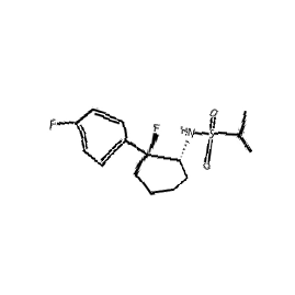 CC(C)S(=O)(=O)N[C@@H]1CCCC[C@]1(F)c1ccc(F)cc1